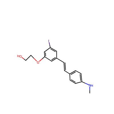 CNc1ccc(C=Cc2cc(I)cc(OCCO)c2)cc1